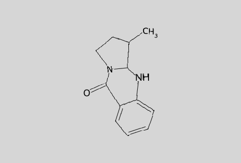 CC1CCN2C(=O)c3ccccc3NC12